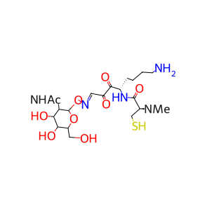 CN[C@@H](CS)C(=O)N[C@@H](CCCCN)C(=O)C(=O)/C=N/OC1OC(CO)C(O)C(O)C1NC(C)=O